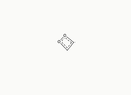 [c]1coo1